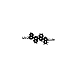 COc1ccc(-c2ccc(-c3ccc(-c4ccc(OC)c5ccccc45)c4ccccc34)c3ccccc23)c2ccccc12